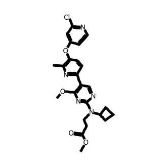 COC(=O)CCN(c1ncc(-c2ccc(Oc3ccnc(Cl)c3)c(C)n2)c(OC)n1)C1CCC1